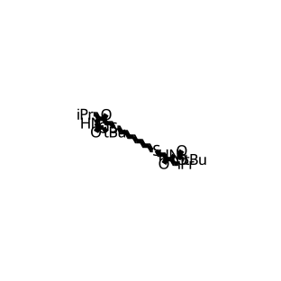 CC(C)CC(NC(=O)OC(C)(C)C)C(=O)CCSCCCCCCCCCCSCCC(=O)C(CC(C)C)NC(=O)OC(C)(C)C